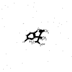 CCCCC(C)C1(C)C(C)=Nc2ccc(I)cc21